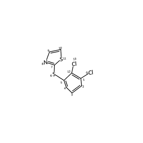 Clc1cccc(Sc2nccs2)c1Cl